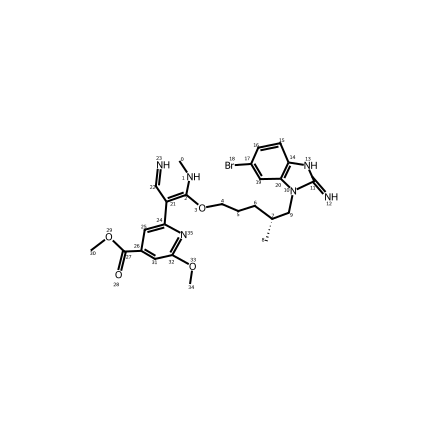 CN/C(OCCC[C@@H](C)Cn1c(=N)[nH]c2ccc(Br)cc21)=C(\C=N)c1cc(C(=O)OC)cc(OC)n1